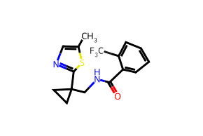 Cc1cnc(C2(CNC(=O)c3ccccc3C(F)(F)F)CC2)s1